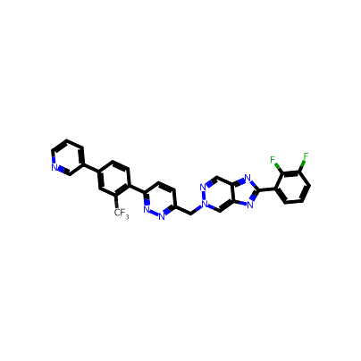 Fc1cccc(-c2nc3cnn(Cc4ccc(-c5ccc(-c6cccnc6)cc5C(F)(F)F)nn4)cc-3n2)c1F